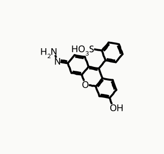 N/N=c1\ccc2c(-c3ccccc3S(=O)(=O)O)c3ccc(O)cc3oc-2c1